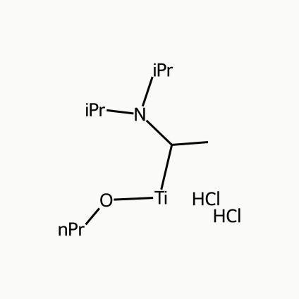 CCC[O][Ti][CH](C)N(C(C)C)C(C)C.Cl.Cl